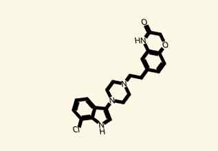 O=C1COc2ccc(CCN3CCN(c4c[nH]c5c(Cl)cccc45)CC3)cc2N1